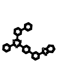 c1ccc(-c2cccc(-c3nc(-c4ccccc4)nc(-c4ccc(-c5cccc(-c6nc7ccccc7o6)c5)cc4)n3)c2)cc1